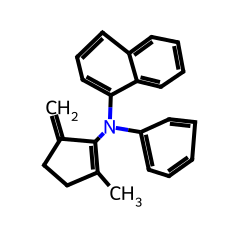 C=C1CCC(C)=C1N(c1ccccc1)c1cccc2ccccc12